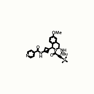 CCCCN[C@H]1Cc2cc(OC)ccc2C(C23CC(NC(=O)c4ccncc4)(C2)C3)N1C(=O)C#C[Si](C)(C)C